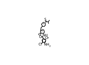 COc1cc(N)c(Cl)cc1C(=O)N[C@@H]1CCN(CC2CCN(C(=S)C(C)C)CC2)C[C@@H]1OC